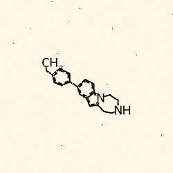 CCc1ccc(-c2ccc3c(c2)cc2n3CCNCC2)cc1